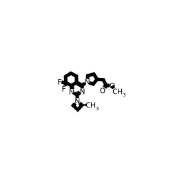 COC(=O)CC1CCN(c2nc(N3CC[C@@H]3C)nc3c2CCCC3(F)F)C1